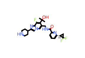 CC(C)(O)c1c(CNC(=O)c2cccc([C@@H]3CC3(F)F)n2)cn2cc(C3CCNCC3)nc2c1F